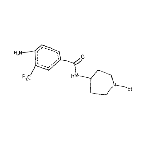 CCN1CCC(NC(=O)c2ccc(N)c(C(F)(F)F)c2)CC1